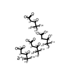 O=C([O-])CC(=O)C(F)(F)F.O=C([O-])CC(=O)C(F)(F)F.O=C([O-])CC(=O)C(F)(F)F.O=C([O-])CC(=O)C(F)(F)F.[Zr+4]